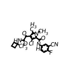 Cc1c(C(=O)C(=O)NC2(C(F)(F)F)CCC2)c(Cl)c(C(=O)Nc2ccc(F)c(C#N)c2)n1C